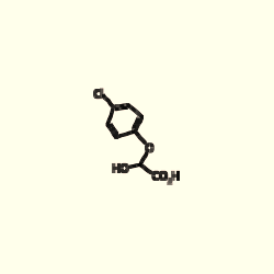 O=C(O)C(O)Oc1ccc(Cl)cc1